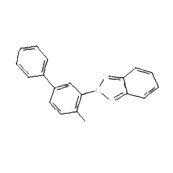 [O]c1ccc(-c2ccccc2)cc1-n1nc2ccccc2n1